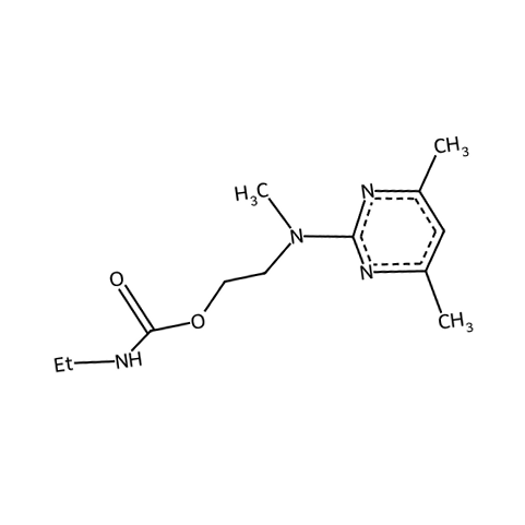 CCNC(=O)OCCN(C)c1nc(C)cc(C)n1